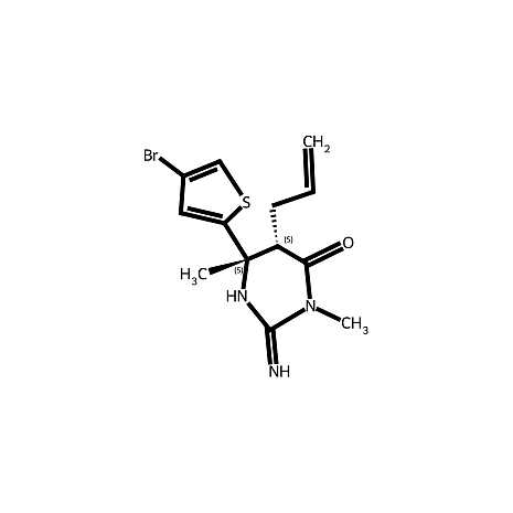 C=CC[C@@H]1C(=O)N(C)C(=N)N[C@]1(C)c1cc(Br)cs1